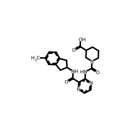 Cc1ccc2c(c1)CC(NC(=O)c1nccnc1NC(=O)N1CCCC(C(=O)O)C1)C2